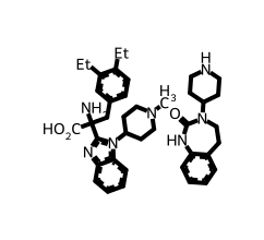 CCc1ccc(CC(N)(C(=O)O)c2nc3ccccc3n2C2CCN(C)CC2)cc1CC.O=C1Nc2ccccc2CCN1C1CCNCC1